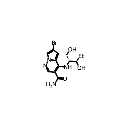 CC[C@@H](O)[C@@H](CO)Nc1c(C(N)=O)cnn2cc(Br)cc12